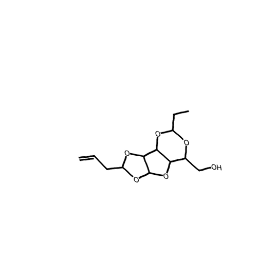 C=CCC1OC2OC3C(CO)OC(CC)OC3C2O1